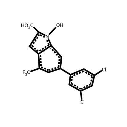 O=C(O)c1cc2c(C(F)(F)F)cc(-c3cc(Cl)cc(Cl)c3)cc2n1O